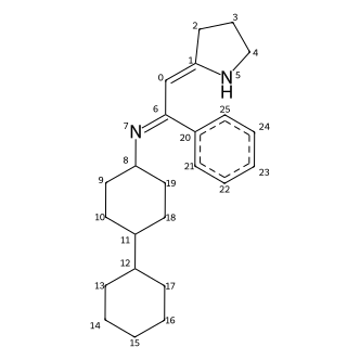 C(=C1CCCN1)C(=NC1CCC(C2CCCCC2)CC1)c1ccccc1